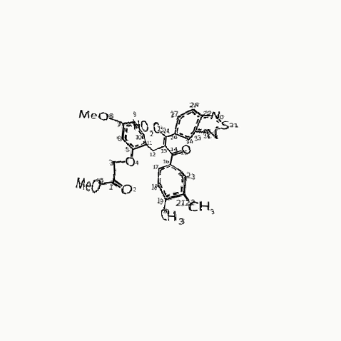 COC(=O)COc1cc(OC)ccc1CC(C(=O)c1ccc(C)c(C)c1)=C(C(=O)O)c1ccc2nsnc2c1